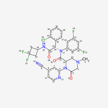 CN1CC(=O)N(c2cc(C#N)ccn2)C(C(=O)N(c2cc(F)cc(F)c2)[C@H](C(=O)NC2CC(F)(F)C2)c2ccccc2Cl)C1